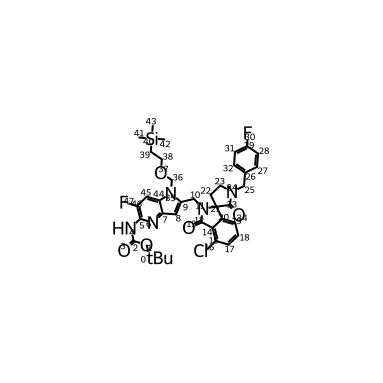 CC(C)(C)OC(=O)Nc1nc2cc(CN3C(=O)c4c(Cl)cccc4C34CCN(Cc3ccc(F)cc3)C4=O)n(COCC[Si](C)(C)C)c2cc1F